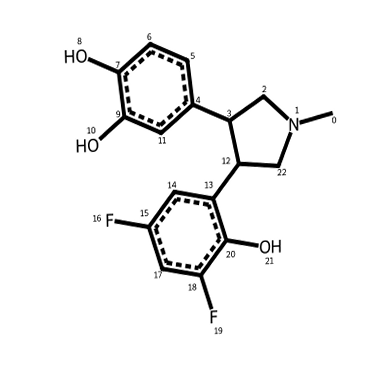 CN1CC(c2ccc(O)c(O)c2)C(c2cc(F)cc(F)c2O)C1